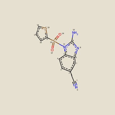 N#Cc1ccc2c(c1)nc(N)n2S(=O)(=O)c1cccs1